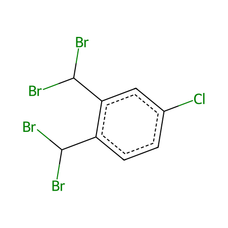 Clc1ccc(C(Br)Br)c(C(Br)Br)c1